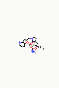 CC(C)(C[C@@H]1CCN(Cc2cc3ncccc3o2)C1=O)OC(N)=O